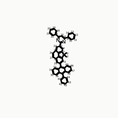 CC1(C)c2cc(-c3nc(-c4ccccc4)cc(-c4ccccc4)n3)cc3ccc4cc(-c5c6ccccc6c(-c6ccccc6)c6ccccc56)cc1c4c23